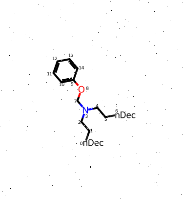 CCCCCCCCCCCCN(CCCCCCCCCCCC)COc1ccccc1